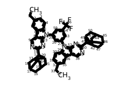 CCc1ccc2c(c1)c1cnc(C3C4CC5CC(C4)CC3C5)nc1n2-c1cc(-n2c3ccc(CC)cc3c3cnc(C4C5CC6CC(C5)CC4C6)nc32)cc(C(F)(F)F)c1